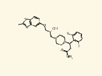 Cc1nc2cc(OC[C@H](O)CN3CCN(C(CC(N)=O)c4c(F)cccc4F)CC3)ccc2s1